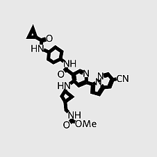 COC(=O)NCC1CC(Nc2cc(-c3ccc4cc(C#N)cnn34)ncc2C(=O)NC2CCC(NC(=O)C3CC3)CC2)C1